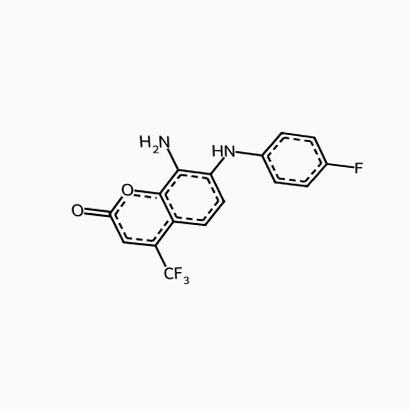 Nc1c(Nc2ccc(F)cc2)ccc2c(C(F)(F)F)cc(=O)oc12